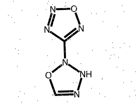 [C]1=NNN(c2nnon2)O1